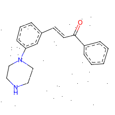 O=C(C=Cc1cccc(N2CCNCC2)c1)c1ccccc1